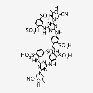 CC(O)CN(CCC#N)c1nc(Nc2ccc(/C=C/c3ccc(Nc4nc(Nc5cc(S(=O)(=O)O)ccc5S(=O)(=O)O)nc(N(CCC#N)CC(C)O)n4)cc3S(=O)(=O)O)c(S(=O)(=O)O)c2)nc(Nc2cc(S(=O)(=O)O)ccc2S(=O)(=O)O)n1